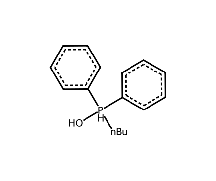 CCCC[PH](O)(c1ccccc1)c1ccccc1